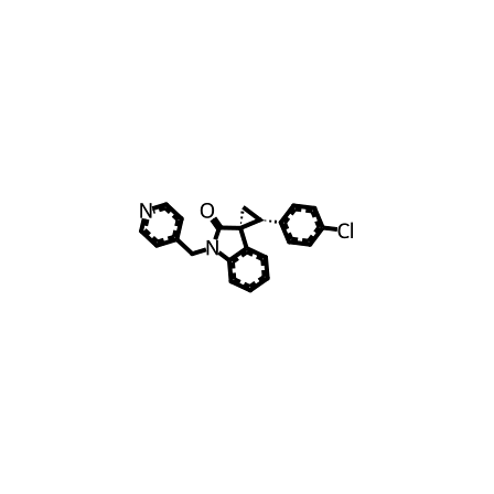 O=C1N(Cc2ccncc2)c2ccccc2[C@@]12C[C@@H]2c1ccc(Cl)cc1